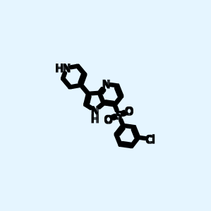 O=S(=O)(c1cccc(Cl)c1)c1ccnc2c(C3=CCNCC3)c[nH]c12